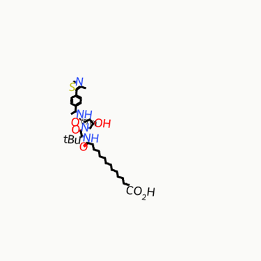 Cc1ncsc1-c1ccc(C(C)NC(=O)[C@@H]2C[C@@H](O)CN2C(=O)C(NC(=O)CCCCCCCCCCCCCC(=O)O)C(C)(C)C)cc1